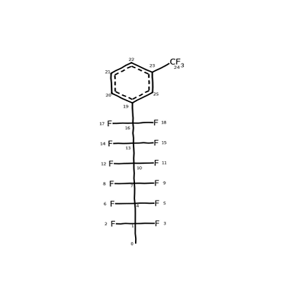 CC(F)(F)C(F)(F)C(F)(F)C(F)(F)C(F)(F)C(F)(F)c1cccc(C(F)(F)F)c1